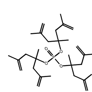 C=C(C)CC(C)(CC(=C)C)OP(=O)(OC(C)(CC(=C)C)CC(=C)C)OC(C)(CC(=C)C)CC(=C)C